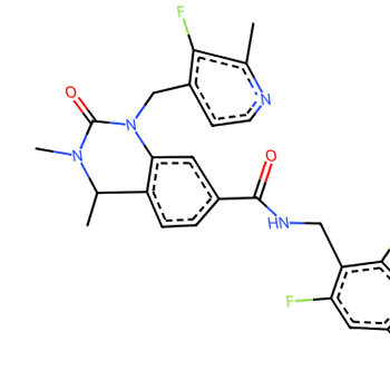 Cc1nccc(CN2C(=O)N(C)C(C)c3ccc(C(=O)NCc4c(F)cc(F)cc4F)cc32)c1F